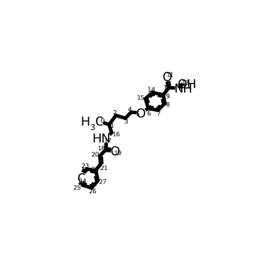 CC(CCCOc1ccc(C(=O)NO)cc1)CNC(=O)/C=C/c1ccccc1